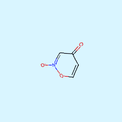 O=c1cco[n+]([O-])c1